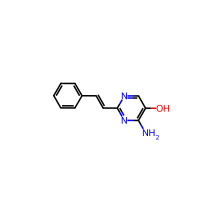 Nc1nc(C=Cc2ccccc2)ncc1O